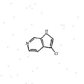 Clc1c[nH]c2cnccc12